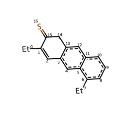 CCC1=Cc2cc3c(CC)cccc3cc2[CH]C1=S